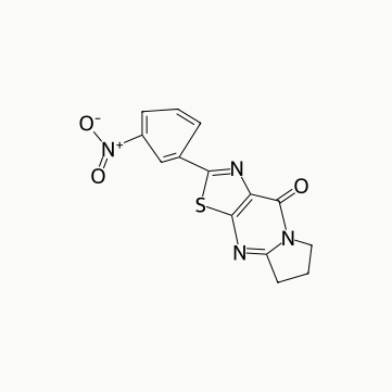 O=c1c2nc(-c3cccc([N+](=O)[O-])c3)sc2nc2n1CCC2